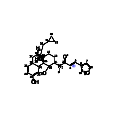 CN(C(=O)/C=C/c1ccoc1)C1CC[C@@]2(O)[C@H]3CC4C=CC(O)=C5OC1C2(CCN3CC1CC1)C54